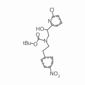 CC(C)(C)OC(=O)N(CCc1ccc([N+](=O)[O-])cc1)CC(O)c1cccc(Cl)n1